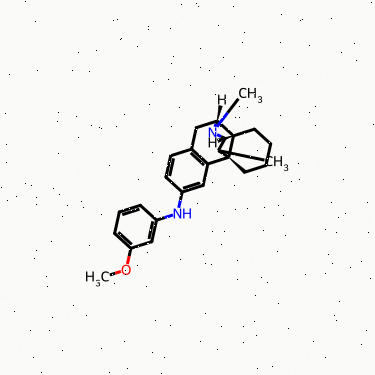 COc1cccc(Nc2ccc3c(c2)[C@@]24CCCC[C@H]2[C@@H](C3)N(C)CC4C)c1